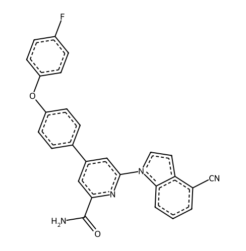 N#Cc1cccc2c1ccn2-c1cc(-c2ccc(Oc3ccc(F)cc3)cc2)cc(C(N)=O)n1